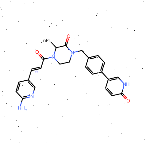 CCCC1C(=O)N(Cc2ccc(-c3ccc(=O)[nH]c3)cc2)CCN1C(=O)/C=C/c1ccc(N)nc1